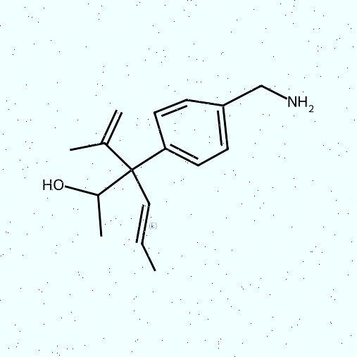 C=C(C)C(/C=C/C)(c1ccc(CN)cc1)C(C)O